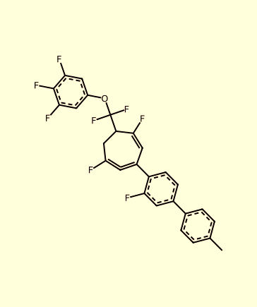 Cc1ccc(-c2ccc(C3=C=C(F)CC(C(F)(F)Oc4cc(F)c(F)c(F)c4)C(F)=C3)c(F)c2)cc1